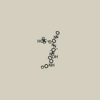 COc1ccc(Nc2ccc3c(O)c(N=Nc4cc(C)c(N=Nc5ccc(N=Nc6ccccc6)cc5OCCCS(=O)(=O)O)cc4C)ccc3c2)cc1